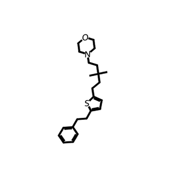 CC(C)(CCc1ccc(CCc2ccccc2)s1)CCN1CCOCC1